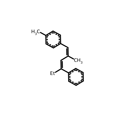 CCC(=CC(C)=Cc1ccc(C)cc1)c1ccccc1